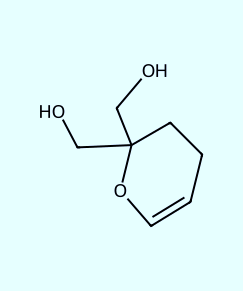 OCC1(CO)CCC=CO1